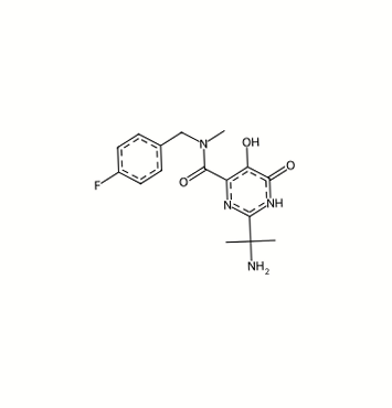 CN(Cc1ccc(F)cc1)C(=O)c1nc(C(C)(C)N)[nH]c(=O)c1O